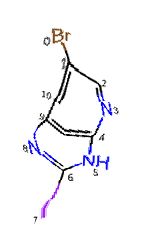 Brc1cnc2[nH]c(I)nc2c1